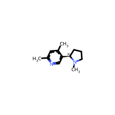 Cc1cc(C)c([C@H]2CCCN2C)cn1